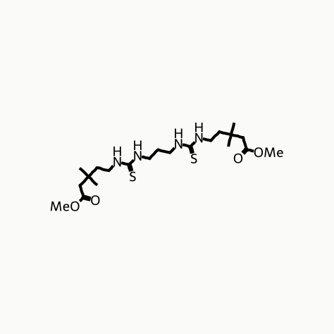 COC(=O)CC(C)(C)CCNC(=S)NCCCNC(=S)NCCC(C)(C)CC(=O)OC